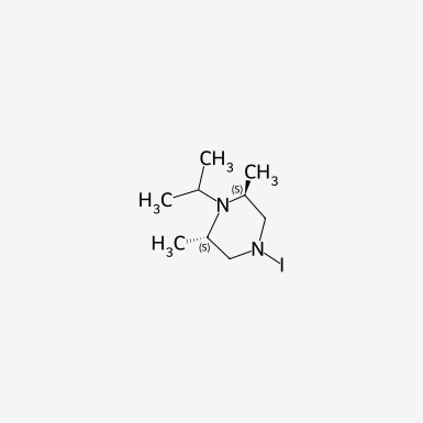 CC(C)N1[C@@H](C)CN(I)C[C@@H]1C